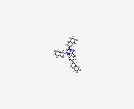 CC1(c2ccc(-c3ccc4ccccc4c3)cc2)N=C(c2ccc3ccccc3c2)N=C(c2ccc3ccccc3c2)N1